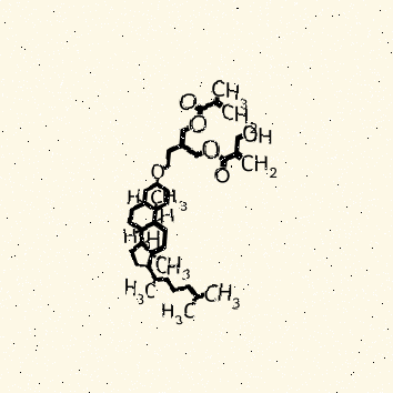 C=C(C)C(=O)OCC(CCO[C@H]1CC[C@@]2(C)[C@@H](CC[C@@H]3[C@@H]2CC[C@]2(C)[C@@H]([C@H](C)CCCC(C)C)CC[C@@H]32)C1)COC(=O)C(=C)CO